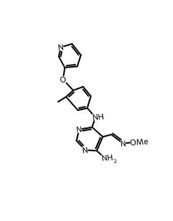 CO/N=C/c1c(N)ncnc1Nc1ccc(Oc2cccnc2)c(C)c1